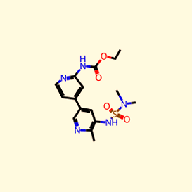 CCOC(=O)Nc1cc(-c2cnc(C)c(NS(=O)(=O)N(C)C)c2)ccn1